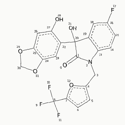 O=C1N(Cc2ccc(C(F)(F)F)o2)c2ccc(F)cc2C1(O)c1cc2c(cc1O)OCO2